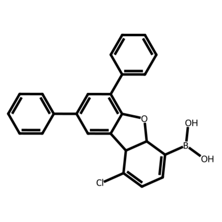 OB(O)C1=CC=C(Cl)C2c3cc(-c4ccccc4)cc(-c4ccccc4)c3OC12